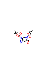 CC(C)(C)OC(=O)N1Cc2c(ncn2C(=O)OC(C)(C)C)CC1C=O